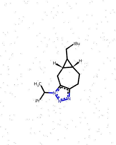 CC(C)C(C)n1nnc2c1C[C@@H]1C(CC(C)(C)C)[C@@H]1CC2